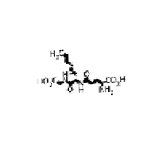 C=CCSSC[C@H](NC(=O)CC[C@H](N)C(=O)O)C(=O)NCC(=O)O